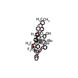 Cc1ncsc1-c1ccc([C@H](C)NC(=O)[C@@H]2C[C@@H](O)CN2C(=O)[C@@H](NC(=O)CCCCCC(=O)N2CC3CCC(C2)N3CC[C@H](CSc2ccccc2)Nc2ccc(S(=O)(=O)NC(=O)c3ccc(N4CCN(CC5=C(c6ccc(Cl)cc6)CCC(C)(C)C5)CC4)cc3)cc2S(=O)(=O)C(F)(F)F)C(C)(C)C)cc1